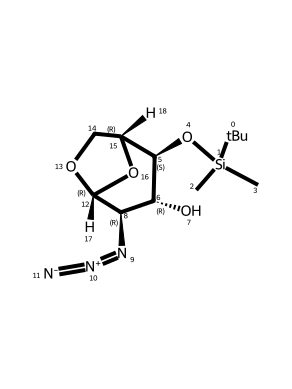 CC(C)(C)[Si](C)(C)O[C@H]1[C@H](O)[C@@H](N=[N+]=[N-])[C@@H]2OC[C@H]1O2